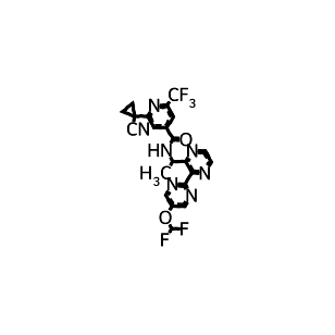 CC(NC(=O)c1cc(C(F)(F)F)nc(C2(C#N)CC2)c1)c1nccnc1-c1ncc(OC(F)F)cn1